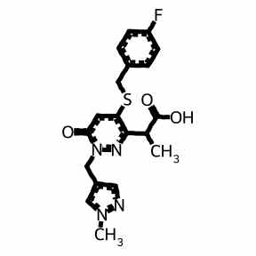 CC(C(=O)O)c1nn(Cc2cnn(C)c2)c(=O)cc1SCc1ccc(F)cc1